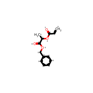 C=CC(=O)OC(C)C(=O)OCc1ccccc1